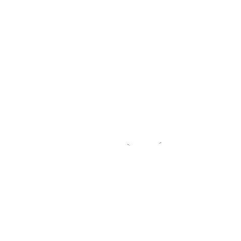 O=C(O)CCC/C=C\C[C@@H]1[C@H](CS(=O)(=O)C2CCCCC2)[C@@H]2CC[C@H]1O2